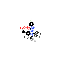 CC(C)CN(CC(C)C)c1ccc([C@@H]2C[C@@H]2C(=O)O)cc1NC(=O)Nc1ccc(F)cc1